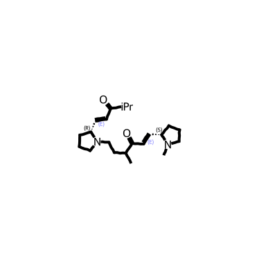 CC(C)C(=O)/C=C/[C@H]1CCCN1CCC(C)C(=O)/C=C/[C@@H]1CCCN1C